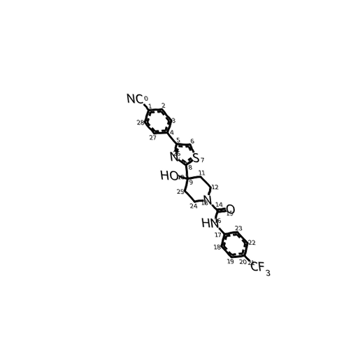 N#Cc1ccc(-c2csc(C3(O)CCN(C(=O)Nc4ccc(C(F)(F)F)cc4)CC3)n2)cc1